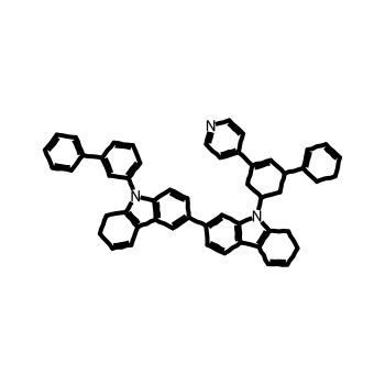 C1=CCCC(C2C=C(c3ccncc3)CC(n3c4c(c5ccc(-c6ccc7c(c6)c6c(n7-c7cccc(-c8ccccc8)c7)CCC=C6)cc53)C=CCC4)C2)=C1